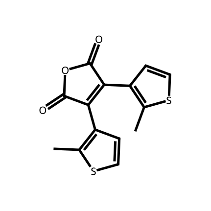 Cc1sccc1C1=C(c2ccsc2C)C(=O)OC1=O